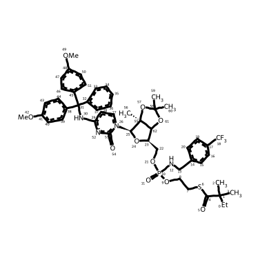 CCC(C)(C)C(=O)SCCOP(=O)(NCc1ccc(C(F)(F)F)cc1)OC[C@H]1O[C@@H](n2ccc(NC(c3ccccc3)(c3ccc(OC)cc3)c3ccc(OC)cc3)nc2=O)[C@@]2(C)OC(C)(C)OC12